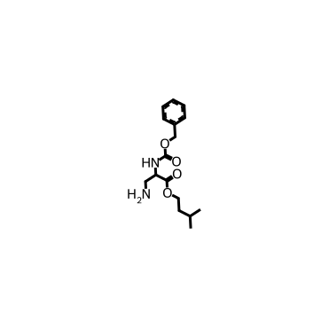 CC(C)CCOC(=O)C(CN)NC(=O)OCc1ccccc1